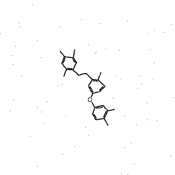 Cc1ccc(Oc2ccc(C)c(CCc3cc(C)c(C)cc3C)c2)cc1C